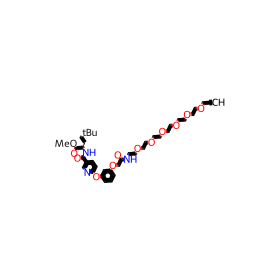 C#CCOCCOCCOCCOCCOCCOCCNC(=O)COc1cccc(Oc2ccc(C(=O)N[C@@H](CCC(C)(C)C)C(=O)OC)cn2)c1